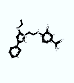 CCOc1cc(-c2ccccc2)nn1CCOc1ccc(C(=O)O)cc1Cl